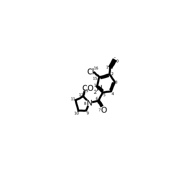 [C]#Cc1ccc(C(=O)N2CCCC2C(=O)O)cc1Cl